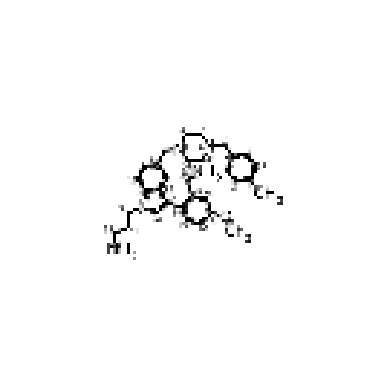 Cc1ccc(CN2CCN(Cc3ccc4c(c3)c(-c3ccc(OC(F)(F)F)cc3CN)cn4CCCN)CC2)cc1